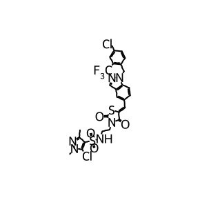 Cc1nn(C)c(Cl)c1S(=O)(=O)NCCN1C(=O)SC(=Cc2ccc3c(cnn3Cc3ccc(Cl)cc3C(F)(F)F)c2)C1=O